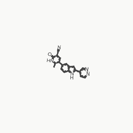 Cc1[nH]c(=O)c(C#N)cc1-c1ccc2[nH]c(-c3ccnnc3)cc2c1